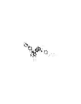 CO[C@H]1CC[C@H](NC(=O)c2cnn3ccc(-c4c[nH]c5ncnc(N[C@H]6CC[C@H](N7CCOCC7)CC6)c45)cc23)CC1